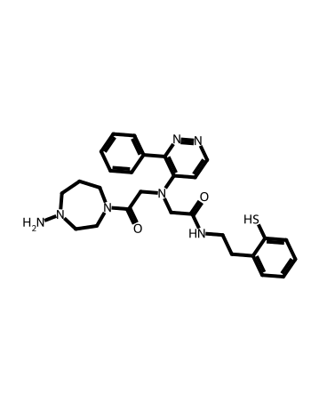 NN1CCCN(C(=O)CN(CC(=O)NCCc2ccccc2S)c2ccnnc2-c2ccccc2)CC1